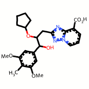 COc1cc(C(O)C(Cc2nc3c(C(=O)O)cccn3n2)OC2CCCC2)cc(OC)c1C